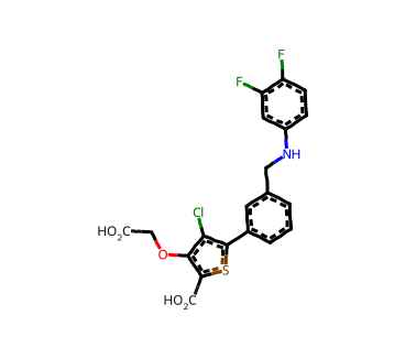 O=C(O)COc1c(C(=O)O)sc(-c2cccc(CNc3ccc(F)c(F)c3)c2)c1Cl